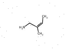 CC=C(C)CN